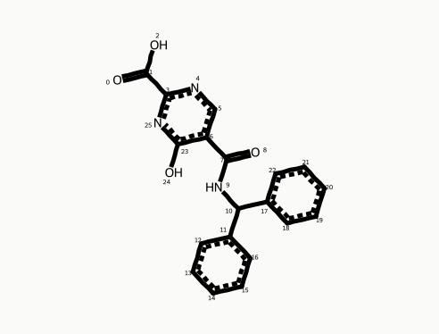 O=C(O)c1ncc(C(=O)NC(c2ccccc2)c2ccccc2)c(O)n1